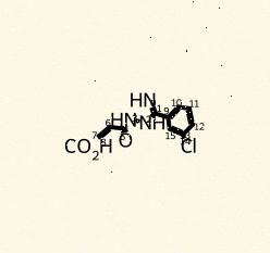 N=C(NNC(=O)/C=C\C(=O)O)c1cccc(Cl)c1